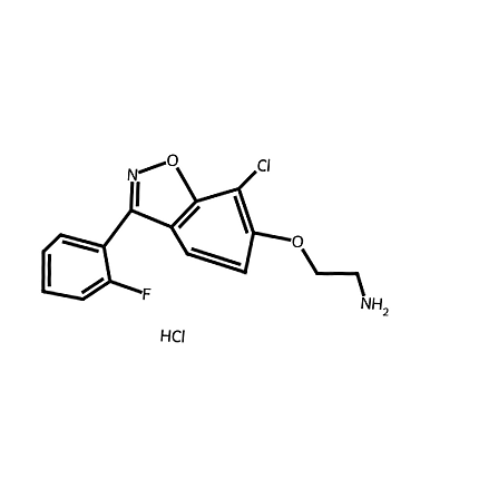 Cl.NCCOc1ccc2c(-c3ccccc3F)noc2c1Cl